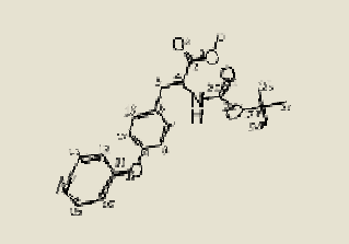 COC(=O)C(Cc1ccc(Oc2ccncc2)cc1)NC(=O)OC(C)(C)C